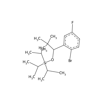 CC(C)[Si](OC(c1cc(F)ccc1Br)C(C)(C)C)(C(C)C)C(C)C